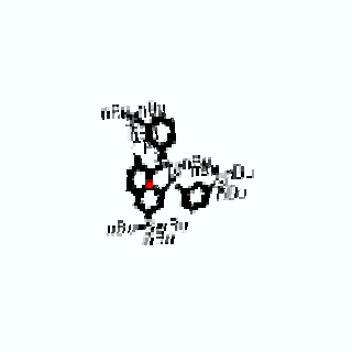 CCCCN(P(c1cccc([Si](CCCC)(CCCC)CCCC)c1)c1cccc([Si](CCCC)(CCCC)CCCC)c1)P(c1cccc([Si](CCCC)(CCCC)CCCC)c1)c1ccccc1C(F)(F)F